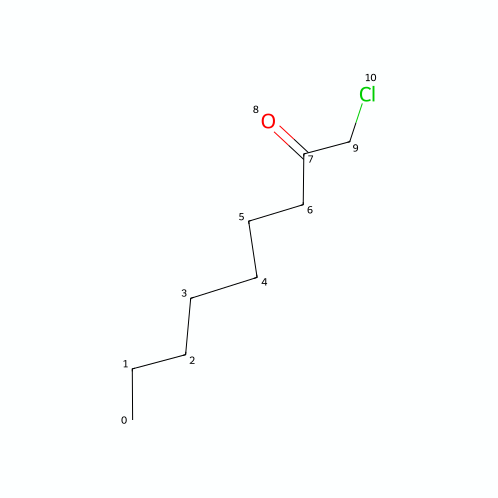 CCCCCCCC(=O)CCl